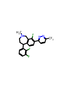 CN1CCC(c2cccc(F)c2F)c2ccc(-c3ccc(C(F)(F)F)nn3)c(F)c2C1